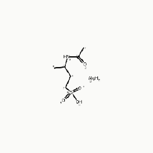 CC(=O)NC(C)CCS(=O)(=O)O.[MgH2]